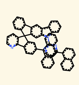 c1cnc(-n2c3ccccc3c3cc4c(cc32)C2(c3ccccc3-4)c3cc(-c4c5ccccc5c(-c5cccc6ccccc56)c5ccccc45)ccc3-c3ncccc32)nc1